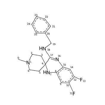 CN1CCC2(CC1)Nc1cc(F)c(F)cc1N=C2NCc1ccccc1